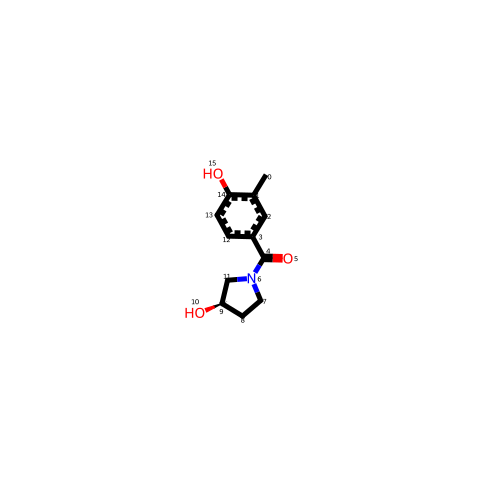 Cc1cc(C(=O)N2CC[C@@H](O)C2)ccc1O